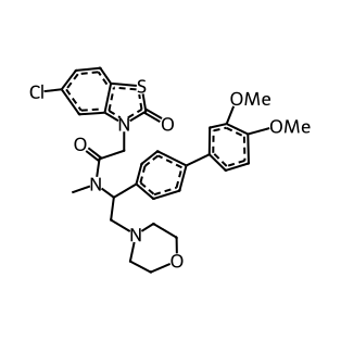 COc1ccc(-c2ccc(C(CN3CCOCC3)N(C)C(=O)Cn3c(=O)sc4ccc(Cl)cc43)cc2)cc1OC